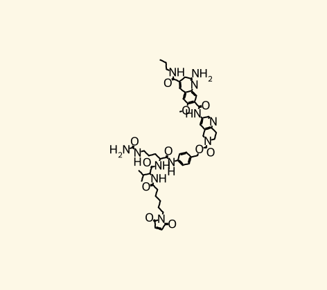 CCCNC(=O)C1=Cc2cc(OC)c(C(=O)Nc3cnc4c(c3)CN(C(=O)OCc3ccc(NC(=O)C(CCCNC(N)=O)NC(=O)C(NC(=O)CCCCCN5C(=O)C=CC5=O)C(C)C)cc3)CC4)cc2N=C(N)C1